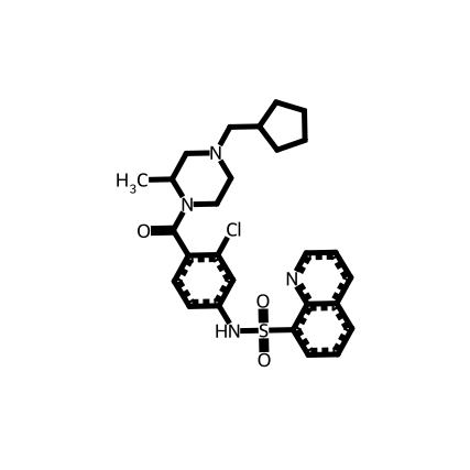 CC1CN(CC2CCCC2)CCN1C(=O)c1ccc(NS(=O)(=O)c2cccc3cccnc23)cc1Cl